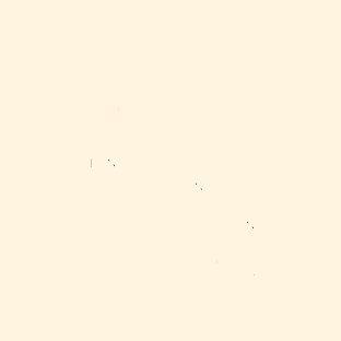 CC(C)[S+]([O-])C1=C(N)c2c(-c3ccccc3)cc(-c3ncco3)nc2C1